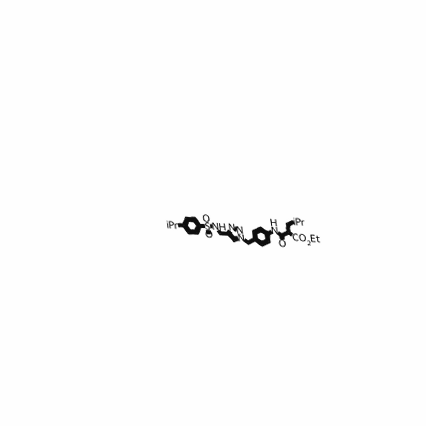 CCOC(=O)C(CC(C)C)C(=O)Nc1ccc(Cn2cc(CNS(=O)(=O)c3ccc(C(C)C)cc3)nn2)cc1